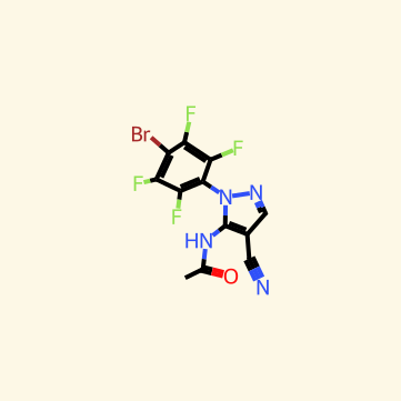 CC(=O)Nc1c(C#N)cnn1-c1c(F)c(F)c(Br)c(F)c1F